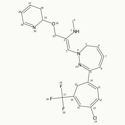 CN/C(=C\N1CC=C=CC(C2=CC=C(Cl)C=C(C(F)(F)F)C2)=N1)COC1CC=CC=N1